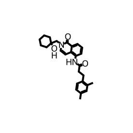 Cc1ccc(CCC(=O)Nc2cccc3c(=O)n(CC4(O)CCCCC4)ccc23)c(C)c1